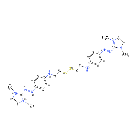 Cn1cc[n+](C)c1N=Nc1ccc(NCCSSCCNc2ccc(N=Nc3n(C)cc[n+]3C)cc2)cc1